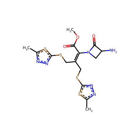 COC(=O)C(=C(CSc1nnc(C)s1)CSc1nnc(C)s1)N1CC(N)C1=O